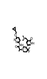 CC(C(=O)Nc1ccc(OCC2CC2)nn1)N1CCC(F)(F)[C@@H](c2c[nH]c(=O)c(CN(C)C)c2)C1